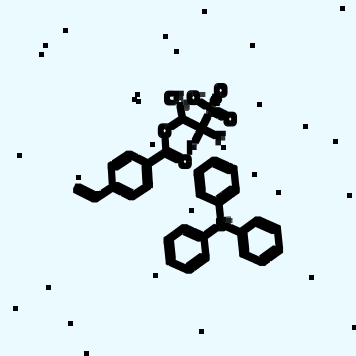 C=Cc1ccc(C(=O)OC(C(F)(F)F)C(F)(F)S(=O)(=O)[O-])cc1.c1ccc([S+](c2ccccc2)c2ccccc2)cc1